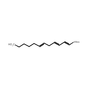 CCCCCC/C=C/C=C/C/C=C/CCCCC(=O)O